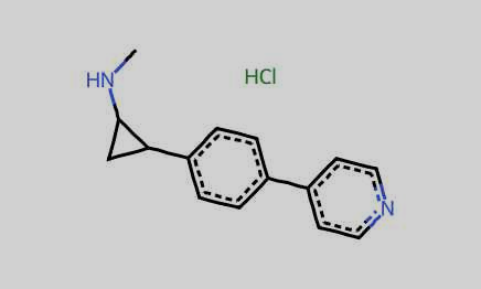 CNC1CC1c1ccc(-c2ccncc2)cc1.Cl